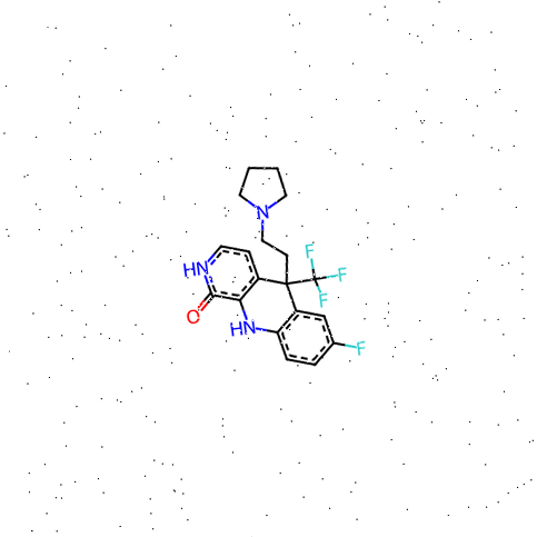 O=c1[nH]ccc2c1Nc1ccc(F)cc1C2(CCN1CCCC1)C(F)(F)F